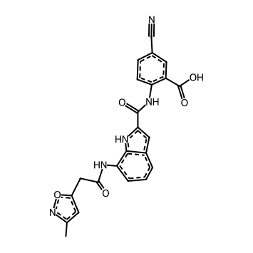 Cc1cc(CC(=O)Nc2cccc3cc(C(=O)Nc4ccc(C#N)cc4C(=O)O)[nH]c23)on1